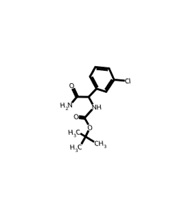 CC(C)(C)OC(=O)NC(C(N)=O)c1cccc(Cl)c1